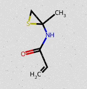 C=CC(=O)NC1(C)CS1